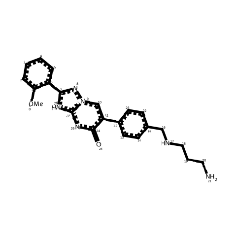 COc1ccccc1-c1nn2cc(-c3ccc(CNCCCN)cc3)c(=O)nc2[nH]1